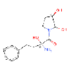 N[C@@](O)(CCc1ccccc1)C(=O)N1CC[C@@H](O)C1O